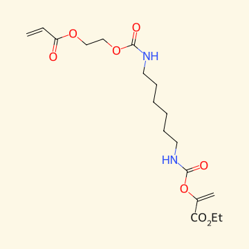 C=CC(=O)OCCOC(=O)NCCCCCCNC(=O)OC(=C)C(=O)OCC